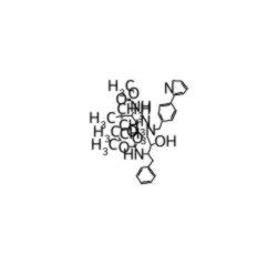 COC(=O)NC(C(=O)NN(Cc1ccc(-c2ccccn2)cc1)CC(O)C(Cc1ccccc1)NC(=O)OC(C)(C)C)C(C)(C)C